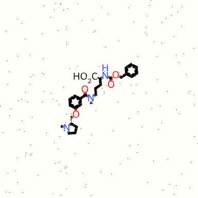 CN(CCC[C@H](NC(=O)OCc1ccccc1)C(=O)O)C(=O)c1cccc(OC[C@@H]2CCCN2C)c1